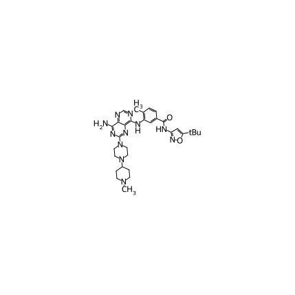 Cc1ccc(C(=O)Nc2cc(C(C)(C)C)on2)cc1Nc1ncnc2c(N)nc(N3CCN(C4CCN(C)CC4)CC3)nc12